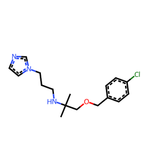 CC(C)(COCc1ccc(Cl)cc1)NCCCn1ccnc1